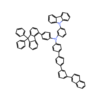 c1ccc(C2(c3ccccc3)c3ccccc3-c3c(-c4ccc(N(c5ccc(-c6ccc(-c7cccc(-c8ccc9ccccc9c8)c7)cc6)cc5)c5cccc(-n6c7ccccc7c7ccccc76)c5)cc4)cccc32)cc1